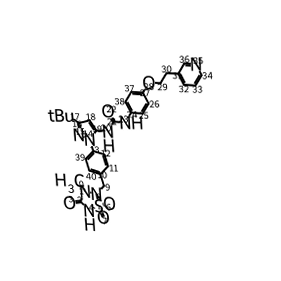 CN1C(=O)NS(=O)(=O)N1Cc1ccc(-n2nc(C(C)(C)C)cc2NC(=O)Nc2ccc(OCCc3cccnc3)cc2)cc1